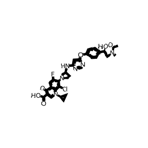 CC(=O)N(C)C[C@H](O)c1ccc(Oc2cc(NC3CCN(c4c(F)cc5c(=O)c(C(=O)O)cn(C6CC6)c5c4Cl)C3)ncn2)cc1